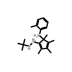 CC1=C(C)C(C)([SiH2]c2ccccc2C)[C]([TiH2][NH]C(C)(C)C)=C1C